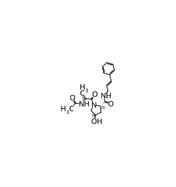 CC(=O)N[C@@H](C)C(=O)N1C[C@H](O)C[C@H]1C(=O)NCC=Cc1ccccc1